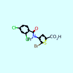 CC(C)N(C(=O)c1ccc(Cl)cc1Cl)c1cc(C(=O)O)sc1Br